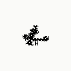 Cc1cc(C)cc(-c2c(C(C)CNCCCCc3ccncc3)c3cc(C(C)(C)C(=O)N(CC(C)C)CC(C)C)cnc3n2C(=O)OC(C)(C)C)c1